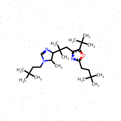 CC1C(C(C)(C)Cc2nc(CCC(C)(C)C)oc2C(C)(C)C)N=CN1CCC(C)(C)C